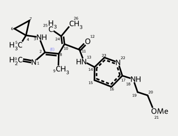 C=N/C(NC1(C)CC1)=C(\C)C(C(=O)Nc1ccc(NCCOC)nc1)=C(C)C